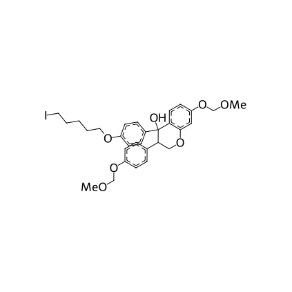 COCOc1ccc(C2COc3cc(OCOC)ccc3C2(O)c2ccc(OCCCCCI)cc2)cc1